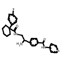 NC(CNC(=O)C1(c2ccc(F)cc2)CCCCC1)c1ccc(C(=O)Nc2ccncc2)cc1